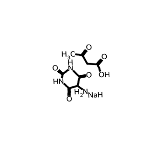 CC(=O)CC(=O)O.NC1C(=O)NC(=O)NC1=O.[NaH]